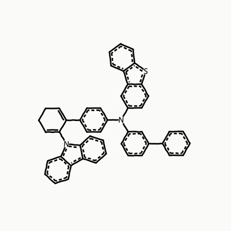 C1=C(c2ccc(N(c3cccc(-c4ccccc4)c3)c3ccc4sc5ccccc5c4c3)cc2)C(n2c3ccccc3c3ccccc32)=CCC1